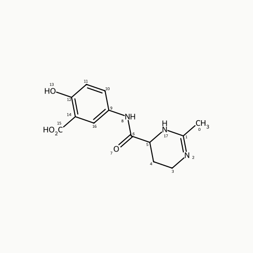 CC1=NCCC(C(=O)Nc2ccc(O)c(C(=O)O)c2)N1